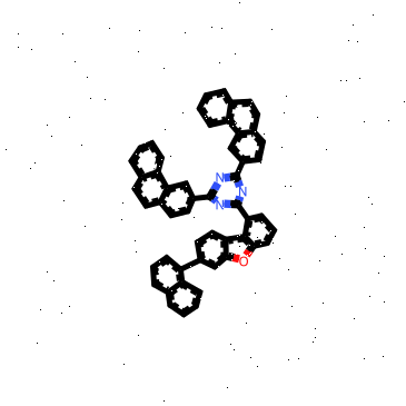 c1ccc2c(-c3ccc4c(c3)oc3cccc(-c5nc(-c6ccc7ccc8ccccc8c7c6)nc(-c6ccc7ccc8ccccc8c7c6)n5)c34)cccc2c1